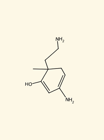 CC1(CCN)CC=C(N)C=C1O